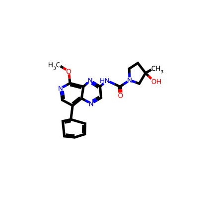 COc1ncc(-c2ccccc2)c2ncc(NC(=O)N3CCC(C)(O)C3)nc12